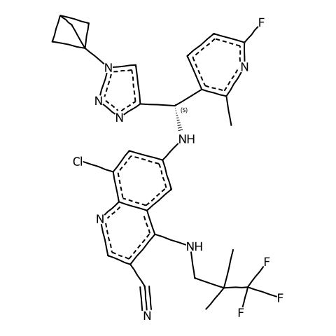 Cc1nc(F)ccc1[C@H](Nc1cc(Cl)c2ncc(C#N)c(NCC(C)(C)C(F)(F)F)c2c1)c1cn(C23CC(C2)C3)nn1